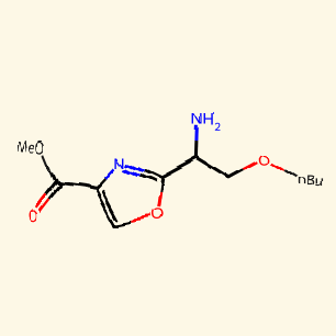 CCCCOCC(N)c1nc(C(=O)OC)co1